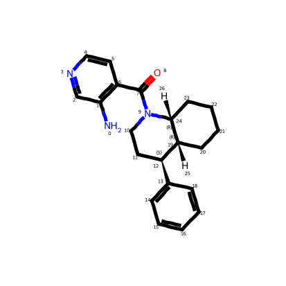 Nc1cnccc1C(=O)N1CC[C@H](c2ccccc2)[C@H]2CCCC[C@H]21